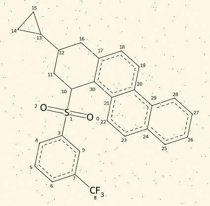 O=S(=O)(c1cccc(C(F)(F)F)c1)C1CC(C2CC2)Cc2ccc3c(ccc4ccccc43)c21